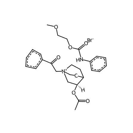 CC(=O)O[C@H]1C[N+]2(CC(=O)c3ccccc3)CCC1CC2.COCCOC(=O)Nc1ccccc1.[Br-]